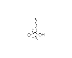 C=CCCCC[C@H](NC=O)C(O)NC